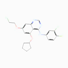 Fc1ccc(Nc2ncnc3cc(OCCCl)cc(OC4CCCC4)c23)cc1Cl